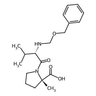 CC(C)[C@H](NCOCc1ccccc1)C(=O)N1CCC[C@@]1(C)C(=O)O